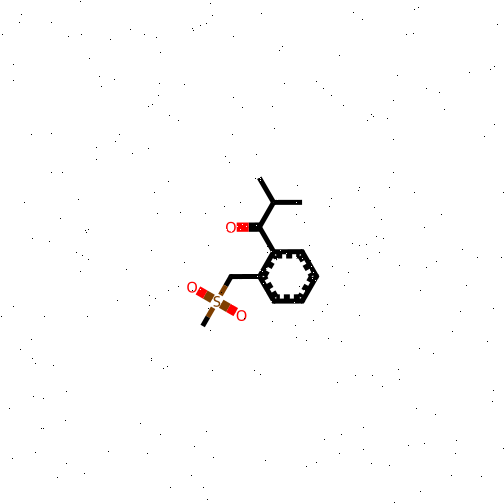 CC(C)C(=O)c1ccccc1CS(C)(=O)=O